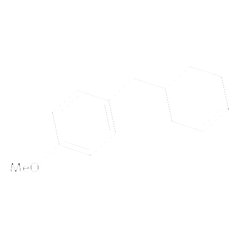 COc1ccc(CC2CC=CCC2)cc1